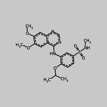 CNS(=O)(=O)c1ccc(OC(C)C)c(Nc2ncnc3cc(OC)c(OC)cc23)c1